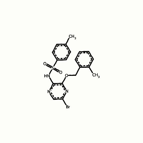 Cc1ccc(S(=O)(=O)Nc2ncc(Br)nc2OCc2ccccc2C)cc1